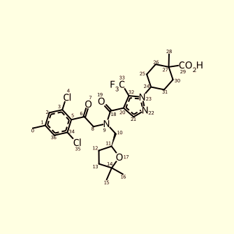 Cc1cc(Cl)c(C(=O)CN(C[C@@H]2CCC(C)(C)O2)C(=O)c2cnn(C3CCC(C)(C(=O)O)CC3)c2C(F)(F)F)c(Cl)c1